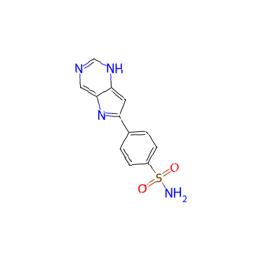 NS(=O)(=O)c1ccc(-c2cc3[nH]cncc-3n2)cc1